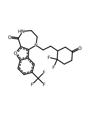 O=C1CCC(F)(F)C(CCN2CCNC(=O)c3oc4ccc(C(F)(F)F)cc4c32)C1